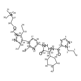 CCCn1nccc1C(=O)N[C@H](C(=O)Nc1ccc(-c2c(C)nn(COCC[Si](C)(C)C)c2CC)c(F)n1)C1CCC(C)CC1